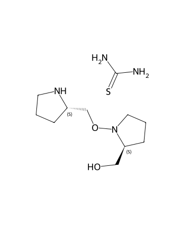 NC(N)=S.OC[C@@H]1CCCN1OC[C@@H]1CCCN1